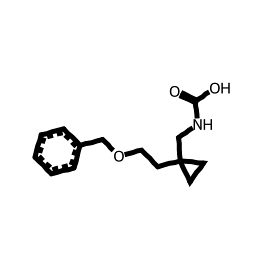 O=C(O)NCC1(CCOCc2ccccc2)CC1